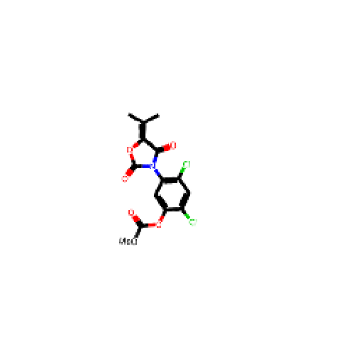 COC(=O)Oc1cc(N2C(=O)OC(=C(C)C)C2=O)c(Cl)cc1Cl